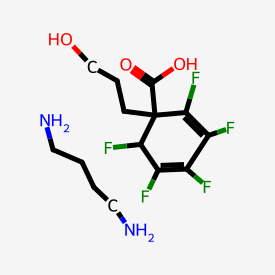 NCCCCN.O=C(O)C1(CCCO)C(F)=C(F)C(F)=C(F)C1F